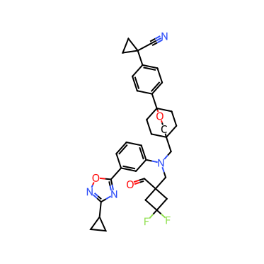 N#CC1(c2ccc(C34CCC(CN(CC5(C=O)CC(F)(F)C5)c5cccc(-c6nc(C7CC7)no6)c5)(CC3)CO4)cc2)CC1